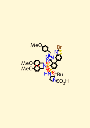 COc1ccc(CN(Cc2ccc(OC)cc2)S(=O)(=O)c2c(S(=O)(=O)NC3CCN(C(=O)O)C3C(C)(C)C)ccc(-c3ccc4sc(Br)nc4c3)c2-c2nnn(Cc3ccc(OC)cc3)n2)cc1